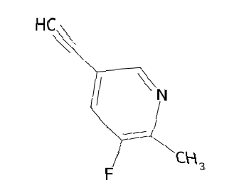 C#Cc1cnc(C)c(F)c1